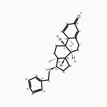 C[C@]12CC[C@H]3[C@@H](CCC4=CC(=O)C=C[C@@]43C)[C@@H]1CC[C@H]2SCc1ccccc1